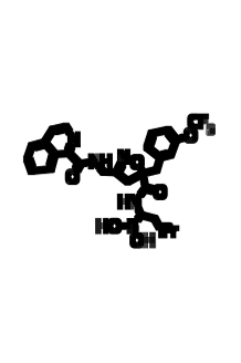 CC(C)CC(NC(=O)C1(Cc2cccc(OC(F)(F)F)c2)CC(CNC(=O)c2nccc3ccccc23)=NO1)B(O)O